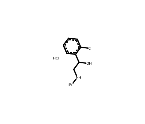 CC(C)NCC(O)c1ccccc1Cl.Cl